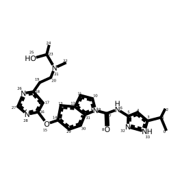 CC(C)c1cc(NC(=O)n2ccc3cc(Oc4cc(CCN(C)C(C)O)ncn4)ccc32)n[nH]1